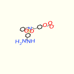 COC(=O)COc1ccc(CCN(Cc2ccccc2)S(=O)(=O)c2ccc(C(=N)N)cc2)cc1